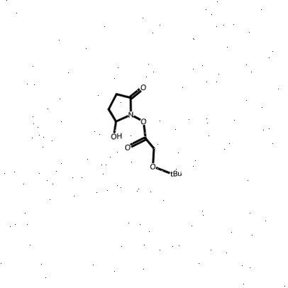 CC(C)(C)OCC(=O)ON1C(=O)CCC1O